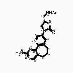 CC(=O)NC[C@H]1CN(c2cnc3c(c2)CCCc2cnc(N)nc2-3)C(=O)O1